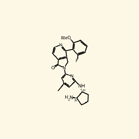 COc1cccc(F)c1-c1nccc2c1CN(c1cc(C)cc(N[C@@H]3CCC[C@H]3N)n1)C2=O